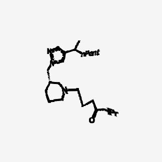 CCCCCC(C)c1cnn(C[C@H]2CCCN(CCCC(=O)C(C)C)C2)c1